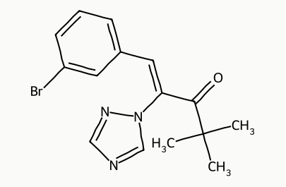 CC(C)(C)C(=O)C(=Cc1cccc(Br)c1)n1cncn1